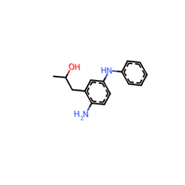 CC(O)Cc1cc(Nc2ccccc2)ccc1N